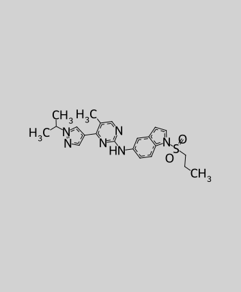 CCCS(=O)(=O)n1ccc2cc(Nc3ncc(C)c(-c4cnn(C(C)C)c4)n3)ccc21